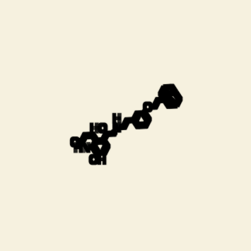 O=c1ccc2c([C@@H](O)CNCCc3cccc(OCCC45CC6CC(CC(C6)C4)C5)c3)ccc(O)c2[nH]1